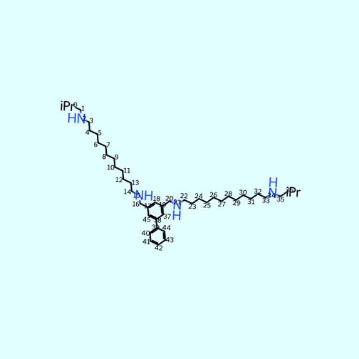 CC(C)CNCCCCCCCCCCCCNCc1cc(CNCCCCCCCCCCCCNCC(C)C)cc(-c2ccccc2)c1